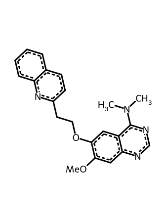 COc1cc2ncnc(N(C)C)c2cc1OCCc1ccc2ccccc2n1